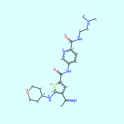 CC(=N)c1cc(C(=O)Nc2ccc(C(=O)NCCN(C)C)nc2)sc1NC1CCOCC1